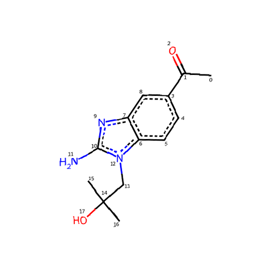 CC(=O)c1ccc2c(c1)nc(N)n2CC(C)(C)O